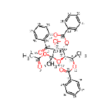 CC(=O)OC1(C)O[C@H]([C@@H](C)OC(=O)c2ccccc2)[C@@H](OC(=O)c2ccccc2)[C@]1(O)C(=O)c1ccccc1